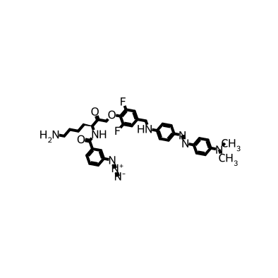 CN(C)c1ccc(/N=N/c2ccc(NCc3cc(F)c(OCC(=O)[C@H](CCCCN)NC(=O)c4cccc(N=[N+]=[N-])c4)c(F)c3)cc2)cc1